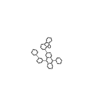 c1ccc(-c2cccc(-c3c4ccccc4c(-c4ccccc4)c4ccc(-c5cccc6c5oc5ccccc56)cc34)c2)cc1